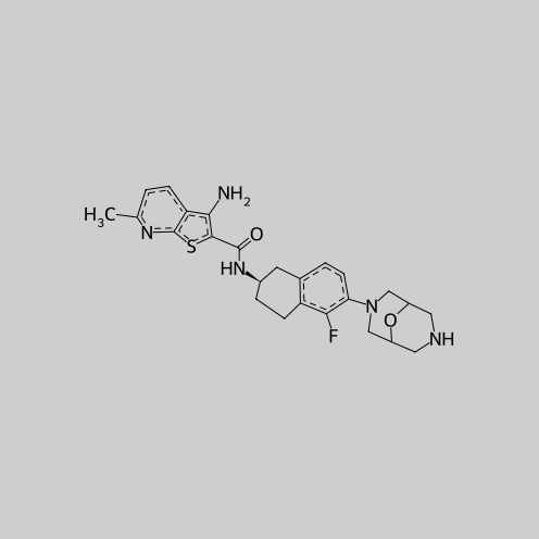 Cc1ccc2c(N)c(C(=O)N[C@@H]3CCc4c(ccc(N5CC6CNCC(C5)O6)c4F)C3)sc2n1